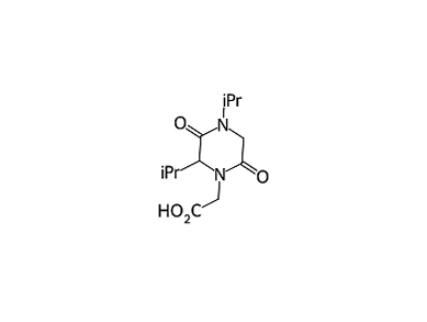 CC(C)C1C(=O)N(C(C)C)CC(=O)N1CC(=O)O